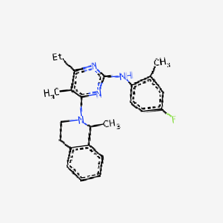 CCc1nc(Nc2ccc(F)cc2C)nc(N2CCc3ccccc3C2C)c1C